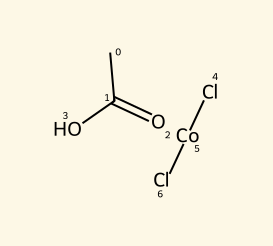 CC(=O)O.[Cl][Co][Cl]